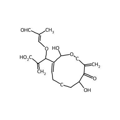 C=C1COC(O)/C(C(O/C=C(\C)C=O)C(=C)C(=O)O)=C\CCCC(O)C1=O